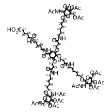 CC(=O)N[C@H]1[C@H](OCCCCCCNC(=O)CCO[C@@H]2[C@H](OCCC(=O)NCCCCCCO[C@@H]3O[C@H](COC(C)=O)[C@H](OC(C)=O)[C@H](OC(C)=O)[C@H]3NC(C)=O)C=C(C(=O)NCCCCNC(=O)CCCCC(=O)O)C[C@H]2OCCC(=O)NCCCCCCO[C@@H]2O[C@H](COC(C)=O)[C@H](OC(C)=O)[C@H](OC(C)=O)[C@H]2NC(C)=O)O[C@H](COC(C)=O)[C@H](OC(C)=O)[C@@H]1OC(C)=O